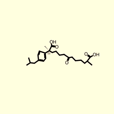 CC(C)Cc1ccc([C@](C)(CCCCC(=O)CCCCC(C)C(=O)O)C(=O)O)cc1